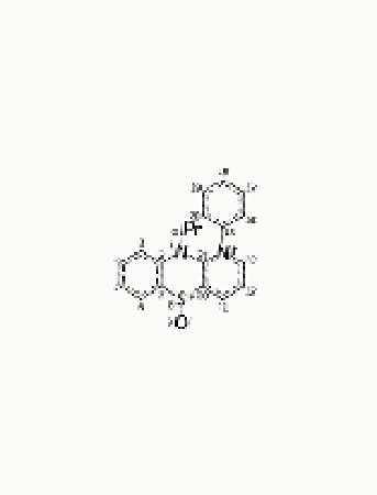 CC(C)N1c2ccccc2[S+]([O-])c2ccc[n+](-c3ccccc3)c21